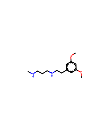 CNCCCNCCc1cc(OC)cc(OC)c1